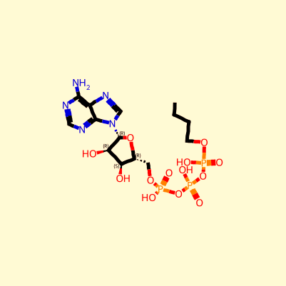 CCCCOP(=O)(O)OP(=O)(O)OP(=O)(O)OC[C@H]1O[C@@H](n2cnc3c(N)ncnc32)[C@H](O)[C@@H]1O